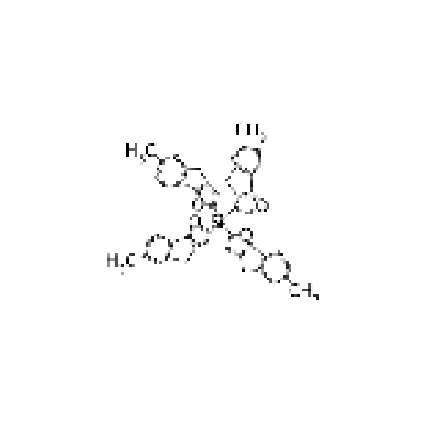 Cc1ccc2c(c1)Cc1cc([Si](c3cc4c(o3)-c3ccc(C)cc3C4)(c3cc4c(o3)-c3ccc(C)cc3C4)c3coc4c3Cc3cc(C)ccc3-4)oc1-2